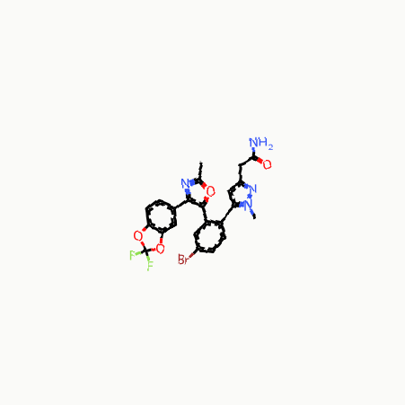 Cc1nc(-c2ccc3c(c2)OC(F)(F)O3)c(-c2cc(Br)ccc2-c2cc(CC(N)=O)nn2C)o1